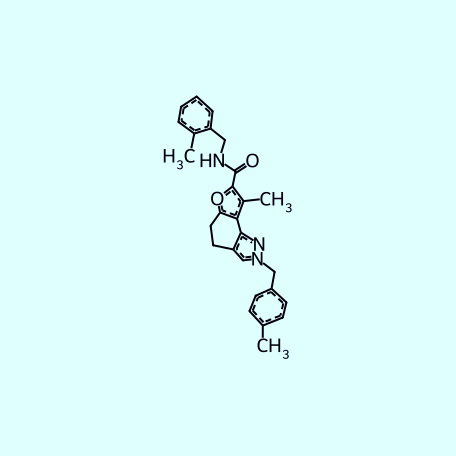 Cc1ccc(Cn2cc3c(n2)-c2c(oc(C(=O)NCc4ccccc4C)c2C)CC3)cc1